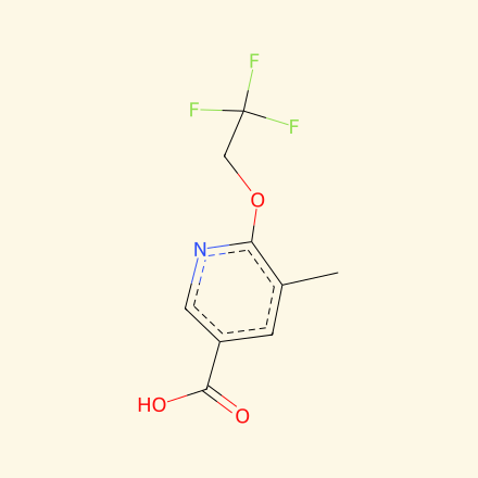 Cc1cc(C(=O)O)cnc1OCC(F)(F)F